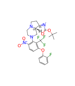 CN(C(=O)OC(C)(C)C)[C@@H]1CCN2CCN(c3c([N+](=O)[O-])ccc(Oc4ccccc4F)c3C(F)(F)F)C[C@@H]12